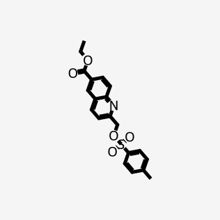 CCOC(=O)c1ccc2nc(COS(=O)(=O)c3ccc(C)cc3)ccc2c1